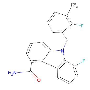 NC(=O)c1cccc2c1c1[c]ccc(F)c1n2Cc1cccc(C(F)(F)F)c1F